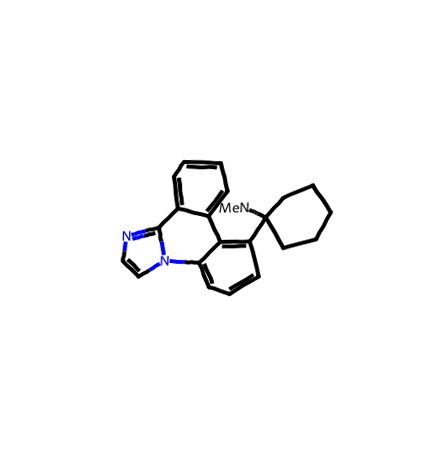 CNC1(c2cccc3c2c2ccccc2c2nccn32)CCCCC1